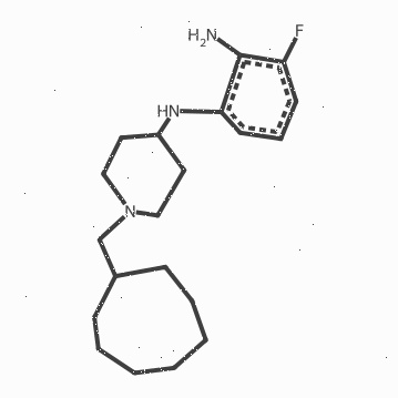 Nc1c(F)cccc1NC1CCN(CC2CCCCCCC2)CC1